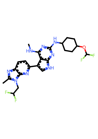 CNc1nc(NC2CCC(OC(F)F)CC2)nc2[nH]cc(-c3ccc4nc(C)n(CC(F)F)c4n3)c12